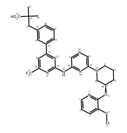 CCOc1cccnc1O[C@@H]1CCCN(c2cncc(Nc3nc(-c4cccc(CC(C)(C)C(=O)O)c4)cc(C(F)(F)F)n3)n2)C1